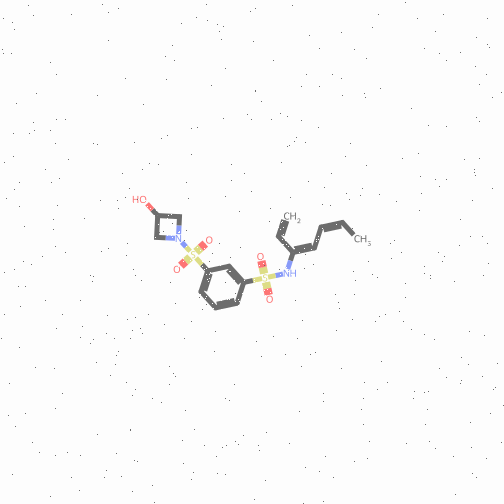 C=C/C(=C\C=C/C)NS(=O)(=O)c1cccc(S(=O)(=O)N2CC(O)C2)c1